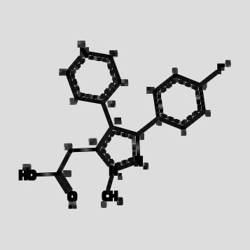 Cn1nc(-c2ccc(F)cc2)c(-c2ccncc2)c1CC(=O)O